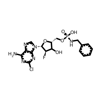 Nc1nc(Cl)nc2c1ncn2[C@@H]1O[C@H](COP(=O)(O)NCc2ccccc2)C(O)[C@H]1F